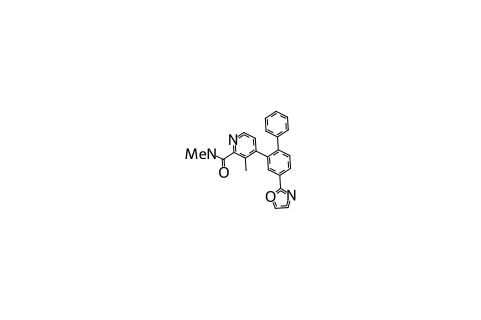 CNC(=O)c1nccc(-c2cc(-c3ncco3)ccc2-c2ccccc2)c1C